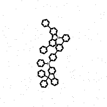 c1ccc(-c2ccc3c(c2)c2cc(-c4ccccc4)ccc2n3-c2ccccc2-c2ccc(-c3ccc(N(c4ccccc4)c4ccc5c(c4)C(c4ccccc4)(c4ccccc4)c4ccccc4-5)cc3)cc2)cc1